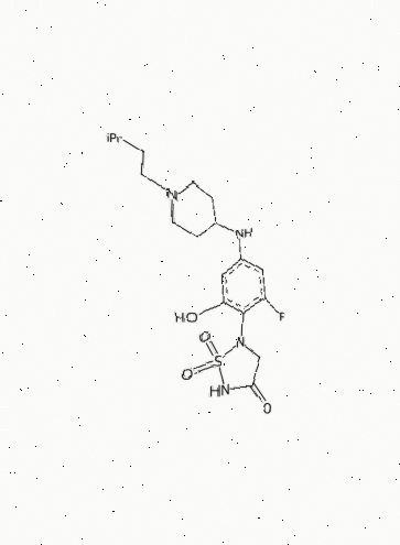 CC(C)CCN1CCC(Nc2cc(O)c(N3CC(=O)NS3(=O)=O)c(F)c2)CC1